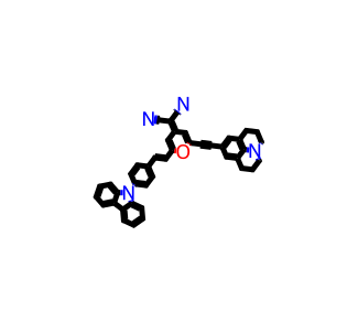 N#CC(C#N)=C1C=C(C#Cc2cc3c4c(c2)CCCN4CCC3)OC(C=Cc2ccc(-n3c4ccccc4c4ccccc43)cc2)=C1